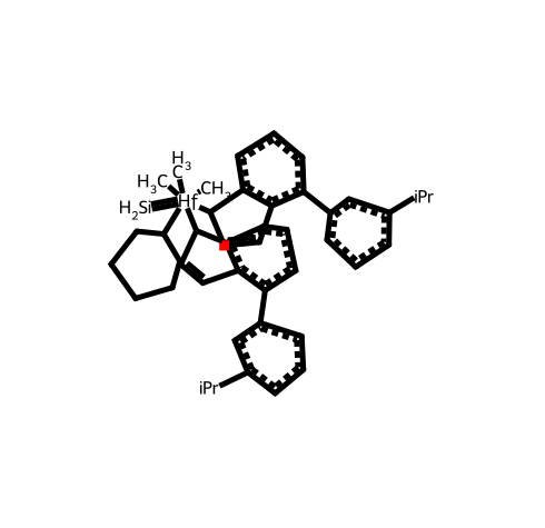 CC(C)c1cccc(-c2cccc3c2C=C[CH]3[Hf]([CH3])([CH3])([CH3])(=[SiH2])([CH]2CCCCC2)[CH]2C=Cc3c(-c4cccc(C(C)C)c4)cccc32)c1